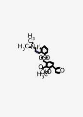 CCN(CC)C/C=C\c1c(F)cccc1S(=O)(=O)Cc1ccc(-c2ccoc2)c(OC)c1C(=O)O